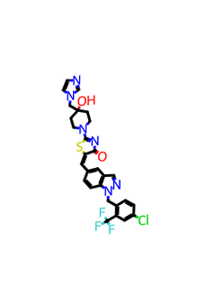 O=C1N=C(N2CCC(O)(Cn3ccnc3)CC2)SC1=Cc1ccc2c(cnn2Cc2ccc(Cl)cc2C(F)(F)F)c1